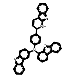 C1=CC(c2ccc(N(c3ccc4sc5ccccc5c4c3)c3cccc4c3oc3ccccc34)cc2)Nc2sc3ccccc3c21